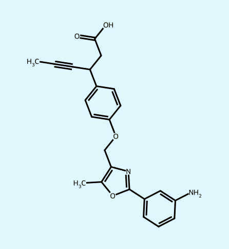 CC#CC(CC(=O)O)c1ccc(OCc2nc(-c3cccc(N)c3)oc2C)cc1